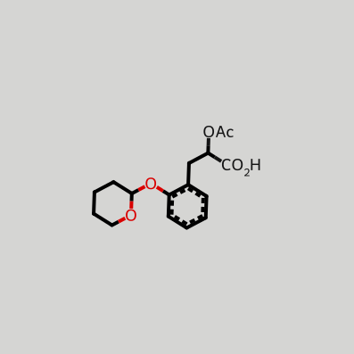 CC(=O)OC(Cc1ccccc1OC1CCCCO1)C(=O)O